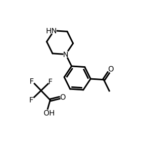 CC(=O)c1cccc(N2CCNCC2)c1.O=C(O)C(F)(F)F